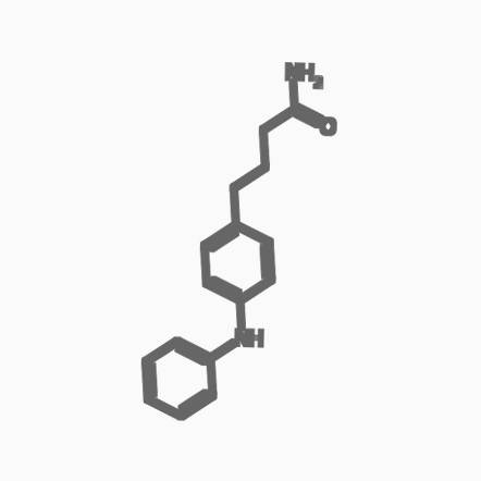 NC(=O)CCCc1ccc(Nc2ccccc2)cc1